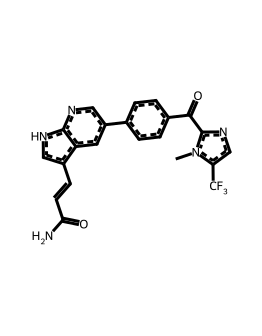 Cn1c(C(F)(F)F)cnc1C(=O)c1ccc(-c2cnc3[nH]cc(/C=C/C(N)=O)c3c2)cc1